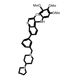 COc1cc(Nc2c(C#N)cnc3cc(-c4cccc(CN5CCC(N6CCCC6)CC5)c4)ccc23)cc(OC)c1OC